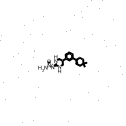 CC1(C)CC=C(c2[c]ccc(C3CNC(=N[N+](N)=O)NC3)c2)CC1